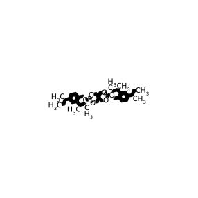 CCC(C)c1ccc(COP2OCC3(CO2)COP(OCc2ccc(C(C)CC)cc2C(C)CC)OC3)c(C(C)CC)c1